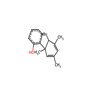 CCCCC1C(C)=CC(C)=CC1(C)c1ccccc1O